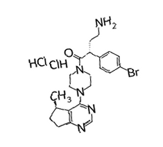 C[C@@H]1CCc2ncnc(N3CCN(C(=O)[C@H](CCN)c4ccc(Br)cc4)CC3)c21.Cl.Cl